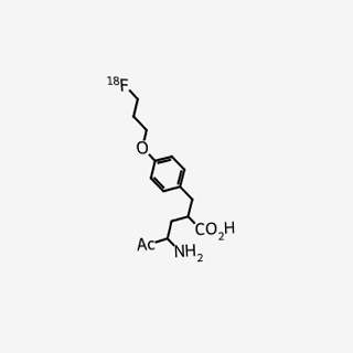 CC(=O)C(N)CC(Cc1ccc(OCCC[18F])cc1)C(=O)O